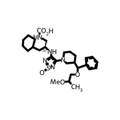 COC(C)COC(c1ccccc1)C1CCCN(c2n[s+]([O-])nc2N[C@H](CNC(=O)O)CC2CCCCC2)C1